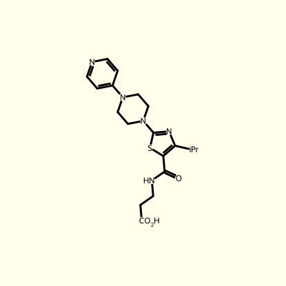 CC(C)c1nc(N2CCN(c3ccncc3)CC2)sc1C(=O)NCCC(=O)O